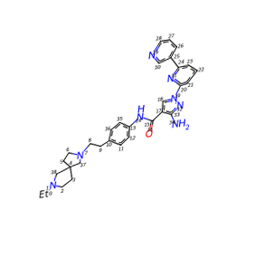 CCN1CCC2(CCN(CCc3ccc(NC(=O)c4cn(-c5cccc(-c6cccnc6)n5)nc4N)cc3)C2)C1